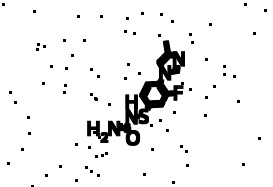 Cc1cn(-c2ccc(SNC(N)=O)cc2F)cn1